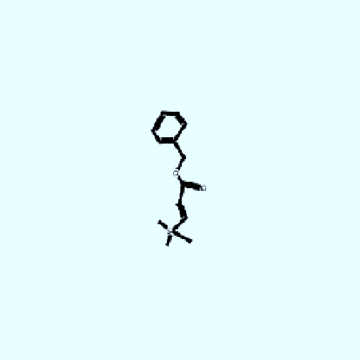 C[Si](C)(C)C=CC(=O)OCc1ccccc1